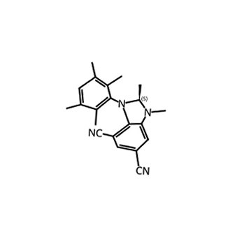 Cc1cc(C)c(C)c(N2c3c(C#N)cc(C#N)cc3N(C)[C@@H]2C)c1C